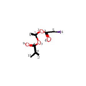 CC(OC(=O)CI)OC(=O)C(C)C